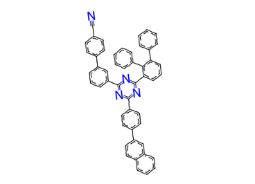 N#Cc1ccc(-c2cccc(-c3nc(-c4ccc(-c5ccc6ccccc6c5)cc4)nc(-c4cccc(-c5ccccc5)c4-c4ccccc4)n3)c2)cc1